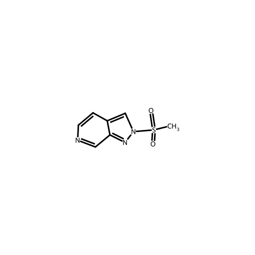 CS(=O)(=O)n1cc2ccncc2n1